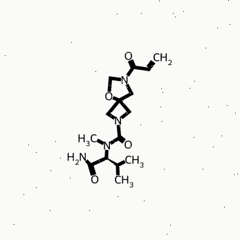 C=CC(=O)N1COC2(C1)CN(C(=O)N(C)[C@H](C(N)=O)C(C)C)C2